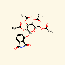 CC(=O)OC[C@H]1O[C@H](Oc2cccc3c2C(=O)NC3=O)[C@H](OC(C)=O)[C@@H](OC(C)=O)[C@@H]1OC(C)=O